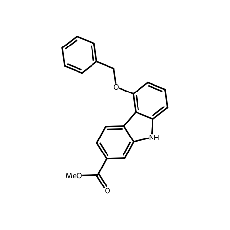 COC(=O)c1ccc2c(c1)[nH]c1cccc(OCc3ccccc3)c12